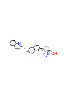 N[C@]1(CO)CC[C@H](c2ccc3c(c2)CC[C@H](CCc2ccc4ccccc4n2)C3)C1